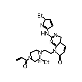 C=CC(=O)N1CCN(CCN2C(=O)C=CC3CN=C(NC4=NC(CC)C=C4)N=C32)[C@@H](CC)C1